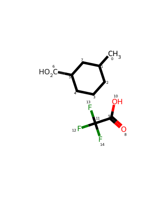 CC1CCCC(C(=O)O)C1.O=C(O)C(F)(F)F